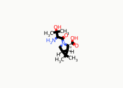 CC(C)(O)C(N)C(=O)N1C[C@H]2[C@@H]([C@H]1C(=O)O)C2(C)C